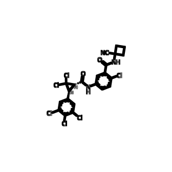 N#CC1(NC(=O)c2cc(NC(=O)[C@@H]3[C@@H](c4cc(Cl)c(Cl)c(Cl)c4)C3(Cl)Cl)ccc2Cl)CCC1